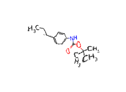 CC[CH]c1ccc(NC(=O)OC(C)(C)C)cc1